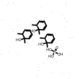 CC1C=CC=CC1(C)O.CC1C=CC=CC1(C)O.CC1C=CC=CC1(C)O.O=P(O)(O)O